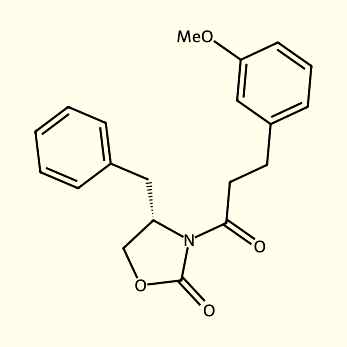 COc1cccc(CCC(=O)N2C(=O)OC[C@@H]2Cc2ccccc2)c1